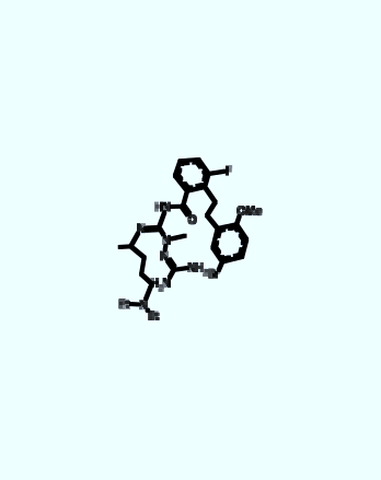 CCN(CC)CCCC(C)N=C(NC(=O)c1cccc(F)c1CCc1cc(Br)ccc1OC)N(C)N=C(N)N